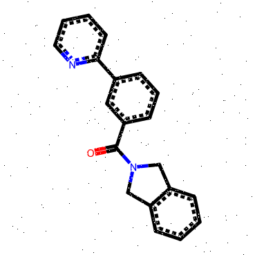 O=C(c1cccc(-c2ccccn2)c1)N1Cc2ccccc2C1